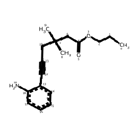 CCCOC(=O)CC(C)(C)CC#Cc1ccccc1N